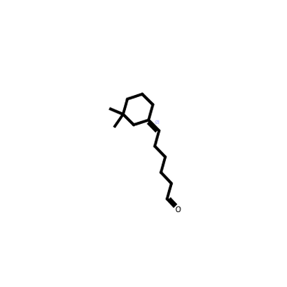 CC1(C)CCC/C(=C/CCCCC=O)C1